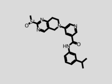 CC(C)c1cccc(NC(=O)c2cncc(N3CCc4nc([S+](C)[O-])ncc4C3)c2)c1